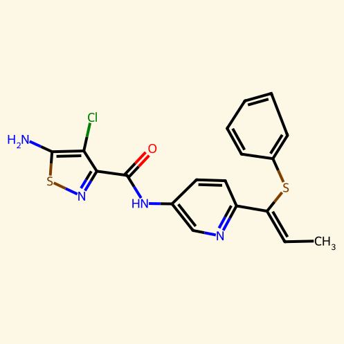 C/C=C(\Sc1ccccc1)c1ccc(NC(=O)c2nsc(N)c2Cl)cn1